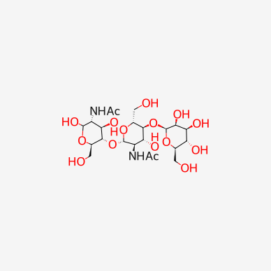 CC(=O)N[C@H]1[C@H](O[C@H]2[C@H](O)[C@@H](NC(C)=O)C(O)O[C@@H]2CO)O[C@H](CO)[C@@H](O[C@@H]2O[C@H](CO)[C@@H](O)[C@H](O)[C@@H]2O)[C@@H]1O